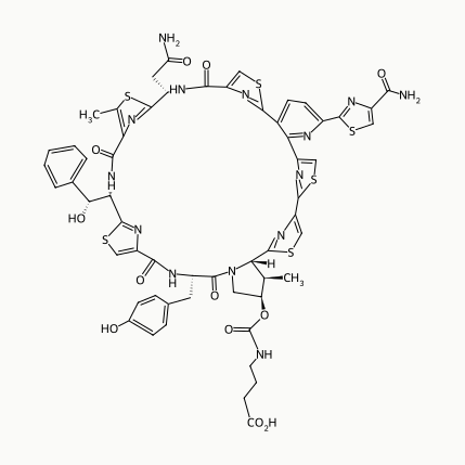 Cc1sc2nc1C(=O)N[C@@H]([C@H](O)c1ccccc1)c1nc(cs1)C(=O)N[C@@H](Cc1ccc(O)cc1)C(=O)N1C[C@H](OC(=O)NCCCC(=O)O)[C@H](C)[C@H]1c1nc(cs1)-c1nc(cs1)-c1nc(-c3nc(C(N)=O)cs3)ccc1-c1nc(cs1)C(=O)N[C@H]2CC(N)=O